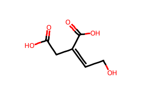 O=C(O)CC(=CCO)C(=O)O